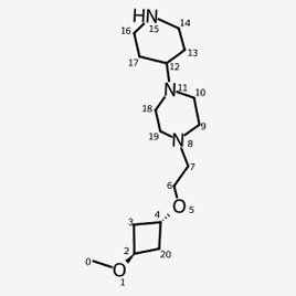 CO[C@H]1C[C@H](OCCN2CCN(C3CCNCC3)CC2)C1